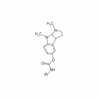 CC(C)NC(=O)Oc1ccc2c(c1)C1CCN(C)C1N2C